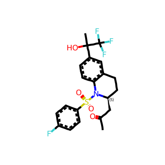 CC(=O)C[C@@H]1CCc2cc(C(C)(O)C(F)(F)F)ccc2N1S(=O)(=O)c1ccc(F)cc1